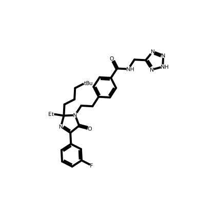 CCC1(CCCC(C)(C)C)N=C(c2cccc(F)c2)C(=O)N1CCc1ccc(C(=O)NCc2nn[nH]n2)cc1